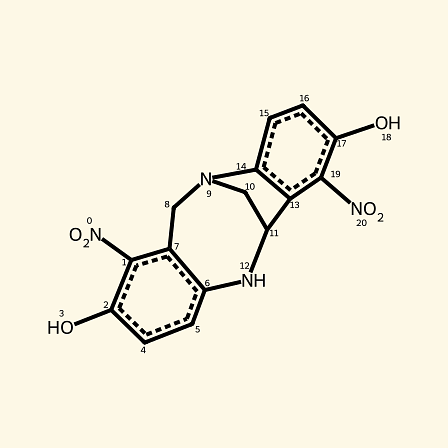 O=[N+]([O-])c1c(O)ccc2c1CN1CC(N2)c2c1ccc(O)c2[N+](=O)[O-]